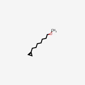 COCCCCCCCC1=CC1